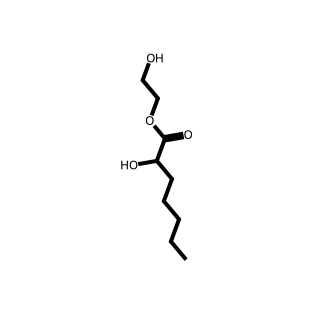 CCCCCC(O)C(=O)OCCO